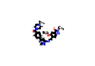 CNC(=O)c1ccc(CCNc2cc(-c3ccc(C(=O)N4CCN(C)CC4)cc3)ncn2)c(OC)c1